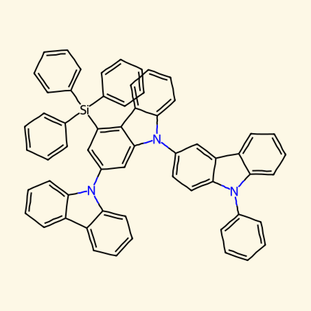 c1ccc(-n2c3ccccc3c3cc(-n4c5ccccc5c5c([Si](c6ccccc6)(c6ccccc6)c6ccccc6)cc(-n6c7ccccc7c7ccccc76)cc54)ccc32)cc1